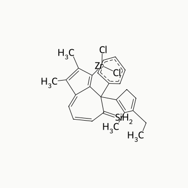 CCC1=CCC(C2(c3ccccc3)C(=[SiH2])C=CC=C3C(C)=C(C)[C]([Zr]([Cl])[Cl])=C32)=C1C